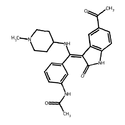 CC(=O)Nc1cccc(C(NC2CCN(C)CC2)=C2C(=O)Nc3ccc(C(C)=O)cc32)c1